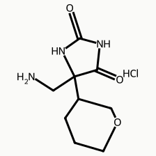 Cl.NCC1(C2CCCOC2)NC(=O)NC1=O